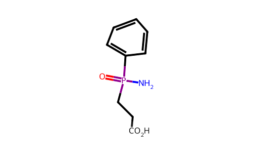 NP(=O)(CCC(=O)O)c1ccccc1